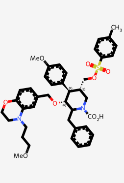 COCCCN1CCOc2ccc(CO[C@H]3C(Cc4ccccc4)N(C(=O)O)C[C@@H](COS(=O)(=O)c4ccc(C)cc4)[C@@H]3c3ccc(OC)cc3)cc21